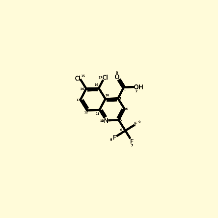 O=C(O)c1cc(C(F)(F)F)nc2ccc(Cl)c(Cl)c12